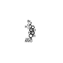 COC[C@]1(O)CC[C@H]2[C@H](CC[C@@H]3[C@@H]2CC[C@]2(C)[C@@H](C(=O)CBr)CC[C@@H]32)C1